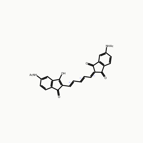 CC(=O)Nc1ccc2c(c1)C(=O)\C(=C/C=C/C=C/C1=C(O)c3cc(NC(C)=O)ccc3C1=O)C2=O